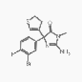 CN1C(=O)C(C2=CSCC2)(c2ccc(F)c(Br)c2)N=C1N